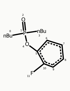 CCCCP(=O)(CCCC)Oc1ccccc1F